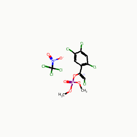 COP(=O)(OC)O/C(=C\Cl)c1cc(Cl)c(Cl)cc1Cl.O=[N+]([O-])C(Cl)(Cl)Cl